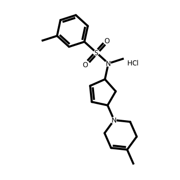 CC1=CCN(C2C=CC(N(C)S(=O)(=O)c3cccc(C)c3)C2)CC1.Cl